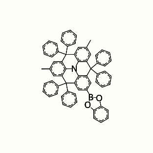 Cc1cc2c3c(c1)C(c1ccccc1)(c1ccccc1)c1cc(B4Oc5ccccc5O4)cc4c1N3c1c(cc(C)cc1C4(c1ccccc1)c1ccccc1)C2(c1ccccc1)c1ccccc1